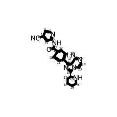 N#Cc1ccnc(NC(=O)c2ccc(-c3nc([C@@H]4CCCCN4)n4ccnc(N)c34)cc2)c1